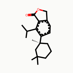 CC(C)c1c([C@@]2(C)CCCC(C)(C)C2)ccc2c1C(=O)OC2